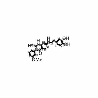 COc1cccc(N2C(=O)c3cnc(NCCc4ccc(O)c(O)c4)nc3NC2O)c1